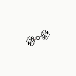 c1cc(C[N+]23CCCN4CCCN5CCCN(CC2)C5C43)ccc1C[N+]12CCCN3CCCN4CCCN(CC1)C4C32